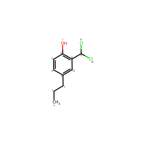 CCCc1ccc(O)c(C(Cl)Cl)c1